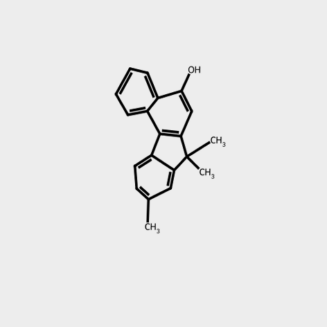 Cc1ccc2c(c1)C(C)(C)c1cc(O)c3ccccc3c1-2